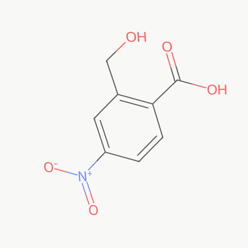 O=C(O)c1ccc([N+](=O)[O-])cc1CO